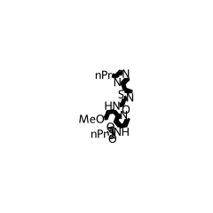 CCCc1cncc(-c2cnc(C(=O)NC(CCOC)c3cc(NS(=O)(=O)CCC)ccn3)s2)n1